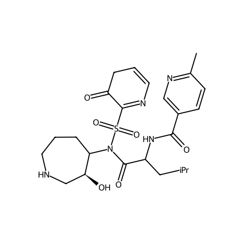 Cc1ccc(C(=O)NC(CC(C)C)C(=O)N(C2CCCNC[C@@H]2O)S(=O)(=O)C2=NC=CCC2=O)cn1